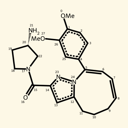 COc1ccc(/C2=C/C=C\CCCc3cc(C(=O)N4CC[C@H](N)C4)nn32)cc1OC